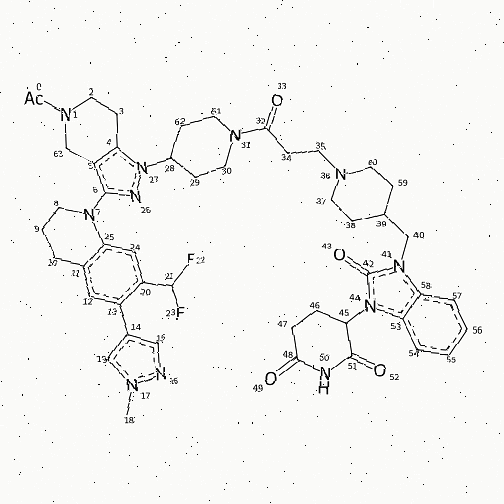 CC(=O)N1CCc2c(c(N3CCCc4cc(-c5cnn(C)c5)c(C(F)F)cc43)nn2C2CCN(C(=O)CCN3CCC(Cn4c(=O)n(C5CCC(=O)NC5=O)c5ccccc54)CC3)CC2)C1